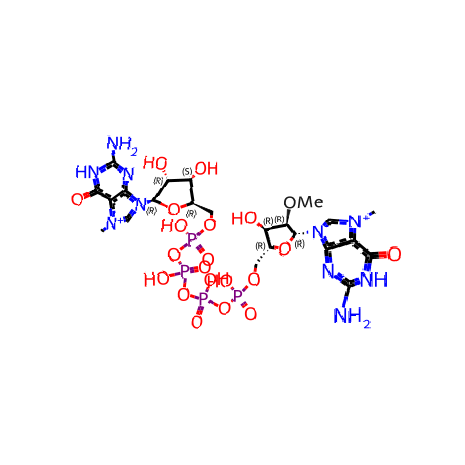 CO[C@@H]1[C@H](O)[C@@H](COP(=O)(O)OP(=O)(O)OP(=O)(O)OP(=O)(O)OC[C@H]2O[C@@H](n3c[n+](C)c4c(=O)[nH]c(N)nc43)[C@H](O)[C@@H]2O)O[C@H]1n1c[n+](C)c2c(=O)[nH]c(N)nc21